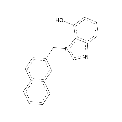 Oc1cccc2ncn(Cc3ccc4ccccc4c3)c12